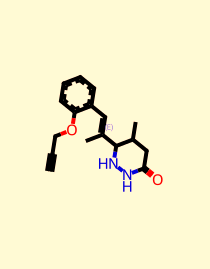 C#CCOc1ccccc1/C=C(\C)C1NNC(=O)CC1C